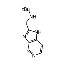 CC(C)(C)NCc1nc2cnccc2[nH]1